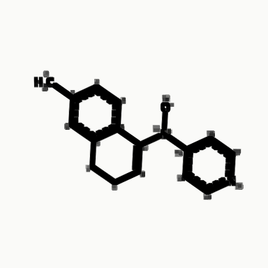 Cc1ccc2c(c1)CCC=C2[S+]([O-])c1ccncc1